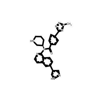 Cn1nnc(-c2ccc(C(=O)N(c3nccc4cc(-c5cn[nH]c5)ccc34)[C@@H]3CCCNC3)cc2)n1